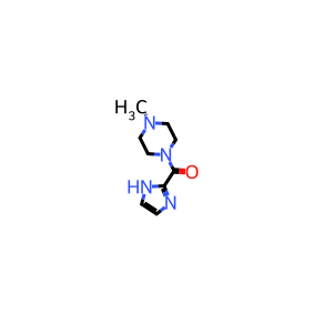 CN1CCN(C(=O)c2ncc[nH]2)CC1